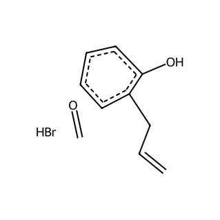 Br.C=CCc1ccccc1O.C=O